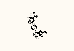 CCc1cc2c(N3CCN(C(=O)CC(C(F)F)C(F)(F)F)CC3)ncnc2s1